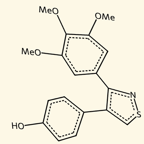 COc1cc(-c2nscc2-c2ccc(O)cc2)cc(OC)c1OC